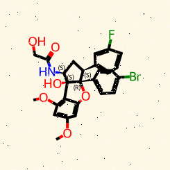 COc1cc(OC)c2c(c1)O[C@@]1(c3ccc(Br)cc3)[C@H](c3cccc(F)c3)C[C@H](NC(=O)CO)[C@@]21O